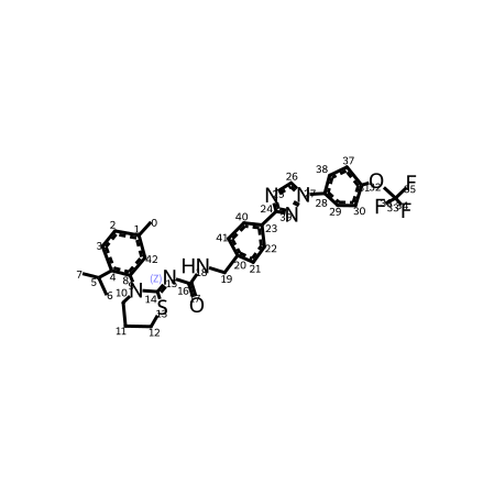 Cc1ccc(C(C)C)c(N2CCCS/C2=N\C(=O)NCc2ccc(-c3ncn(-c4ccc(OC(F)(F)F)cc4)n3)cc2)c1